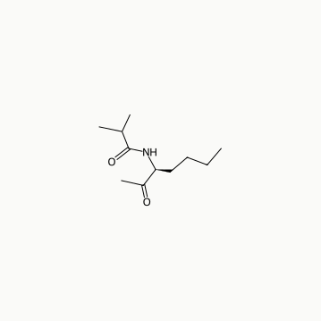 CCCC[C@H](NC(=O)C(C)C)C(C)=O